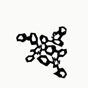 C=C1C(c2cccc(-c3ccccc3)c2)=NC(c2ccc(-c3ccccc3-c3nc(-c4ccccc4)cc(-c4ccccc4)n3)cc2-c2ccccc2C2=CC=CC3c4ccccc4SC23)=NC1c1ccccc1